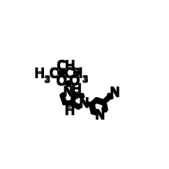 CC(C)(C)OC(=O)N1CC[C@@H]2CN(c3cncc(C#N)c3)C[C@@H]21